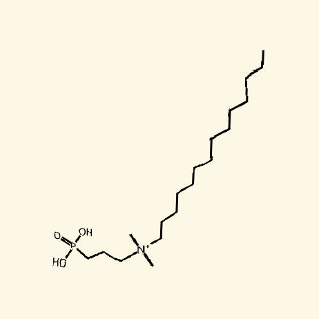 CCCCCCCCCCCCCC[N+](C)(C)CCCP(=O)(O)O